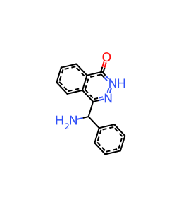 NC(c1ccccc1)c1n[nH]c(=O)c2ccccc12